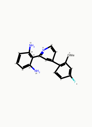 COc1cc(F)ccc1-c1ccnc(-c2c(N)cccc2N)c1